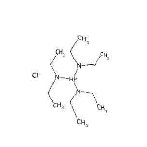 CC[N](CC)[Hf+]([N](CC)CC)[N](CC)CC.[Cl-]